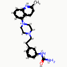 Cc1ccc2c(N3CCN(CCc4cccc(NC(N)=O)c4)CC3)cccc2n1